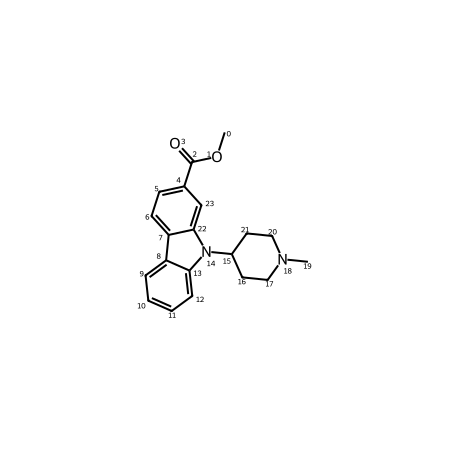 COC(=O)c1ccc2c3ccccc3n(C3CCN(C)CC3)c2c1